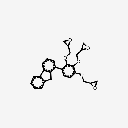 c1ccc2c(c1)Cc1c-2cccc1-c1ccc(OCC2CO2)c(OCC2CO2)c1OCC1CO1